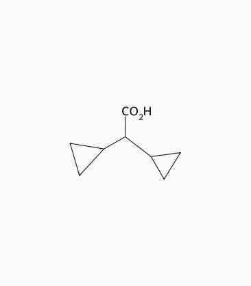 O=C(O)C(C1CC1)C1CC1